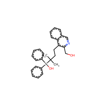 CC(C)(CCc1c(CO)ncc2ccccc12)[Si](O)(c1ccccc1)c1ccccc1